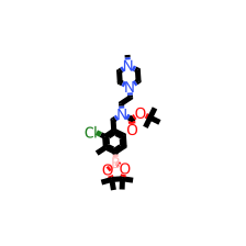 Cc1c(B2OC(C)(C)C(C)(C)O2)ccc(CN(CCN2CCN(C)CC2)C(=O)OC(C)(C)C)c1Cl